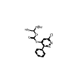 CCCCC(CCC)OC(=O)Sc1cc(Cl)nnc1-c1ccccc1